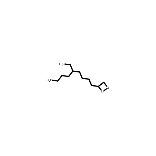 CCCCC(CC)CCCCC1COO1